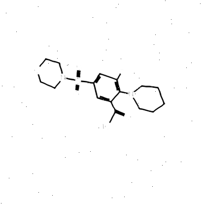 O=C(O)c1cc(S(=O)(=O)N2CCOCC2)cc(F)c1N1CCCCC1